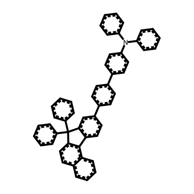 c1ccc(N(c2ccccc2)c2ccc(-c3ccc(-c4ccc5c(c4)C(c4ccccc4)(c4ccccc4)c4ccc6ccccc6c4-5)cc3)cc2)cc1